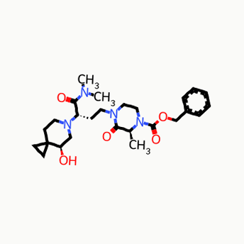 C[C@H]1C(=O)N(CC[C@@H](C(=O)N(C)C)N2CCC3(CC3)[C@H](O)C2)CCN1C(=O)OCc1ccccc1